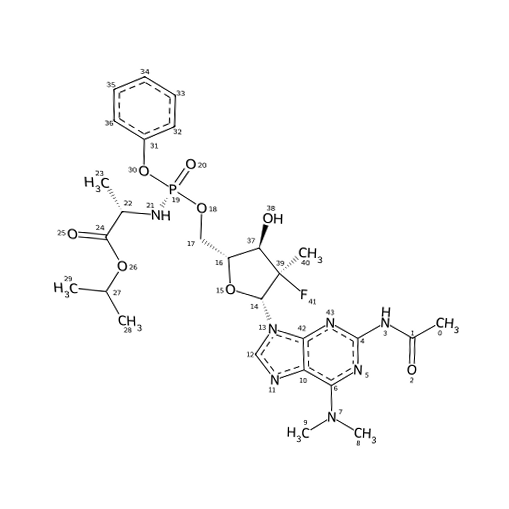 CC(=O)Nc1nc(N(C)C)c2ncn([C@@H]3O[C@H](CO[P@@](=O)(N[C@@H](C)C(=O)OC(C)C)Oc4ccccc4)[C@@H](O)[C@@]3(C)F)c2n1